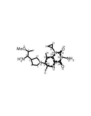 COC(C)C(N)C1CCN(c2c(F)nc3c(=O)n(N)c(=O)n(C4CC4)c3c2C)C1